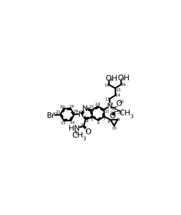 CNC(=O)c1c2cc(C3CC3)c(N(CCC(CO)CO)S(C)(=O)=O)cc2nn1-c1ccc(Br)cc1